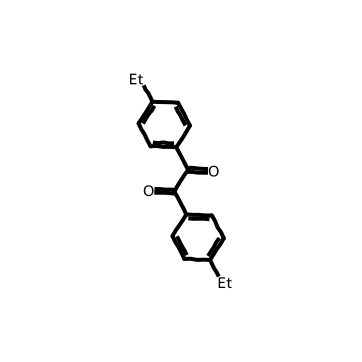 CCc1ccc(C(=O)C(=O)c2ccc(CC)cc2)cc1